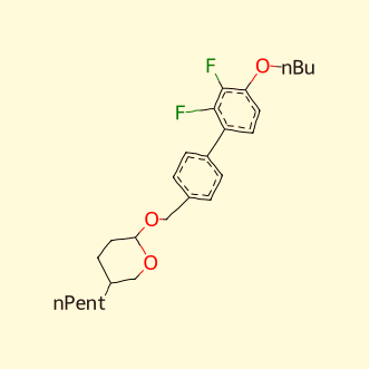 CCCCCC1CCC(OCc2ccc(-c3ccc(OCCCC)c(F)c3F)cc2)OC1